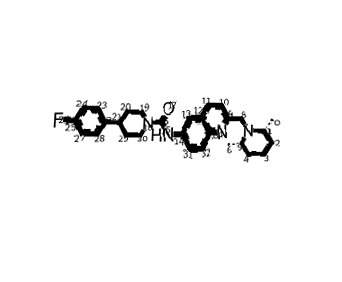 C[C@@H]1CCC[C@H](C)N1Cc1ccc2cc(NC(=O)N3CCC(c4ccc(F)cc4)CC3)ccc2n1